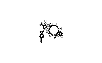 CC[C@@H]1OC(=O)C(C)C(=O)[C@H](C)[C@@H](O[C@@H]2O[C@H](CNc3ccc(C#N)cc3)CC(N(C)C)C2O)[C@](C)(OC)C[C@@H](C)CN[C@H](C)[C@H]2NC(=O)O[C@]12C